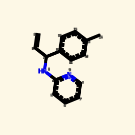 C=CC(Nc1ccccn1)c1ccc(C)cc1